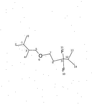 CC(C)C(C)COCCC(F)(F)C(C)C